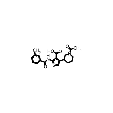 CC(=O)N1CCCC(c2csc(NC(=O)c3cccc(C)c3)c2C(=O)O)C1